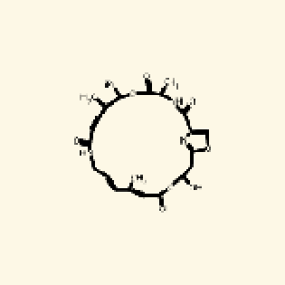 CC1=C\C(O)CC(O)Cc2nc(co2)C(=O)NC(C)C(=O)OC(C(C)C)C(C)/C=C/C(=O)NC\C=C\1